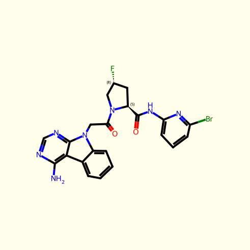 Nc1ncnc2c1c1ccccc1n2CC(=O)N1C[C@H](F)C[C@H]1C(=O)Nc1cccc(Br)n1